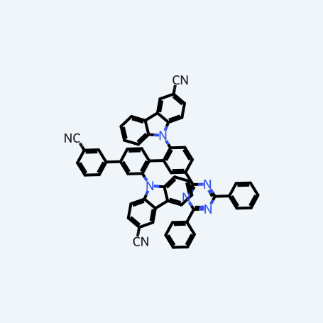 N#Cc1cccc(-c2ccc(-c3cc(-c4nc(-c5ccccc5)nc(-c5ccccc5)n4)ccc3-n3c4ccccc4c4cc(C#N)ccc43)c(-n3c4ccccc4c4cc(C#N)ccc43)c2)c1